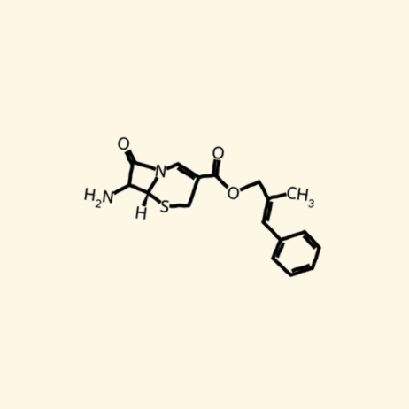 CC(=Cc1ccccc1)COC(=O)C1=CN2C(=O)C(N)[C@H]2SC1